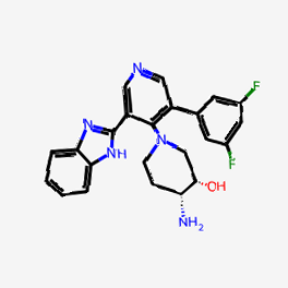 N[C@@H]1CCN(c2c(-c3cc(F)cc(F)c3)cncc2-c2nc3ccccc3[nH]2)C[C@@H]1O